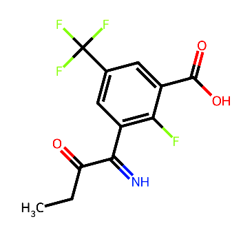 CCC(=O)C(=N)c1cc(C(F)(F)F)cc(C(=O)O)c1F